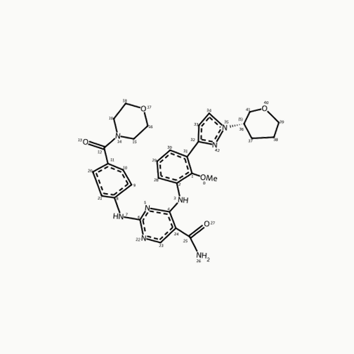 COc1c(Nc2nc(Nc3ccc(C(=O)N4CCOCC4)cc3)ncc2C(N)=O)cccc1-c1ccn([C@H]2CCCOC2)n1